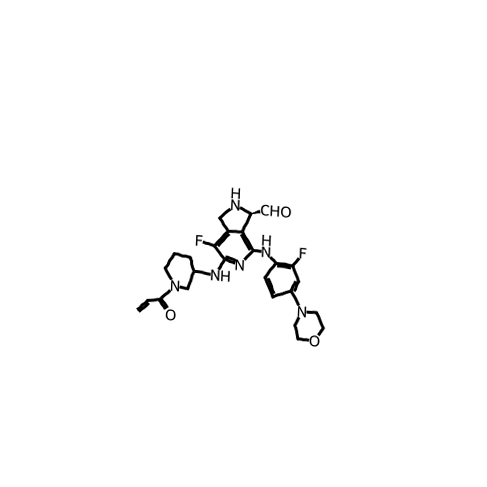 C=CC(=O)N1CCCC(Nc2nc(Nc3ccc(N4CCOCC4)cc3F)c3c(c2F)CN[C@H]3C=O)C1